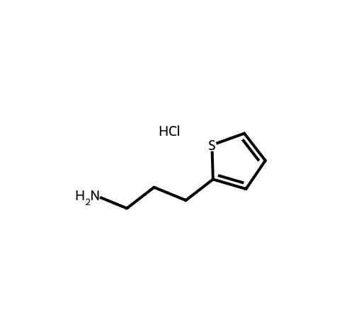 Cl.NCCCc1cccs1